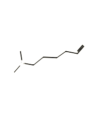 C=CCCCCN(C)C